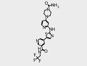 NC(=O)N1CCN(c2ccnc(Nc3ncc(-c4cncc(C(=O)NCC(F)(F)F)c4)s3)c2)CC1